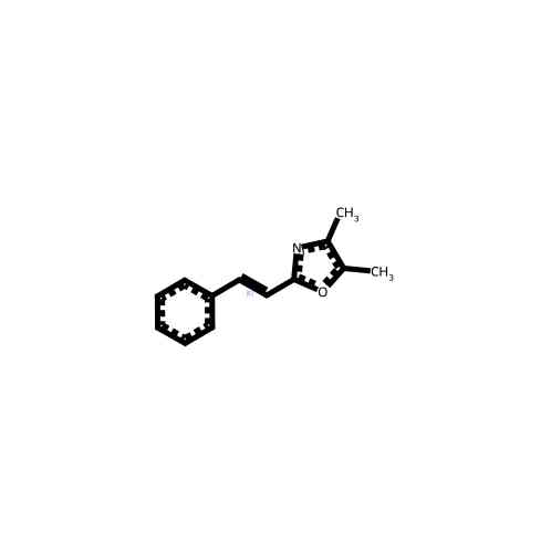 Cc1nc(/C=C/c2ccccc2)oc1C